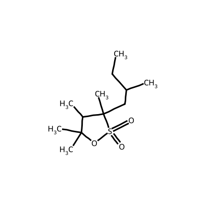 CCC(C)CC1(C)C(C)C(C)(C)OS1(=O)=O